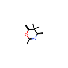 C=C1N=C(C)OC(=C)C1(C)C